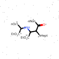 CCCCCCCCCC(=O)C(CCCCCCC)C(NC(CCCCCCCC)C(=O)OCC)C(=O)OCC